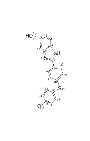 O=C(O)c1ccc2[nH]c(-c3ccc(Sc4ccc(Cl)cc4)cc3)nc2c1